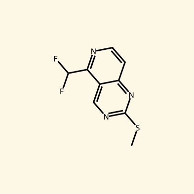 CSc1ncc2c(C(F)F)nccc2n1